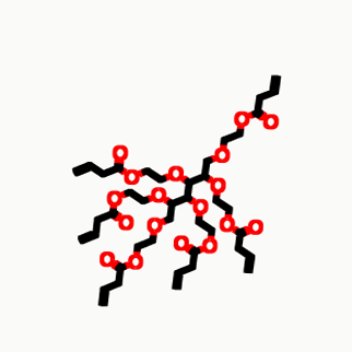 C=CCC(=O)OCCOCC(OCCOC(=O)CC=C)C(OCCOC(=O)CC=C)C(OCCOC(=O)CC=C)C(COCCOC(=O)CC=C)OCCOC(=O)CC=C